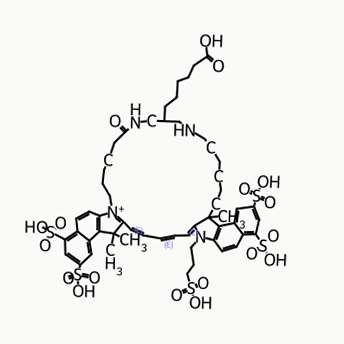 CC1(C)C2=[N+](CCCCCC(=O)NCC(CCCCCC(=O)O)CNCCCCCCC3(C)/C(=C/C=C/C=C/2)N(CCCS(=O)(=O)O)c2ccc4c(S(=O)(=O)O)cc(S(=O)(=O)O)cc4c23)c2ccc3c(S(=O)(=O)O)cc(S(=O)(=O)O)cc3c21